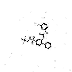 O=C(Nc1cccc(Cl)n1)Nc1cc(S(=O)(=O)NCC(F)(F)F)ccc1-c1ccccc1